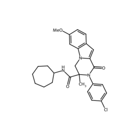 COc1ccc2cc3n(c2c1)CC(C)(C(=O)NC1CCCCCC1)N(c1ccc(Cl)cc1)C3=O